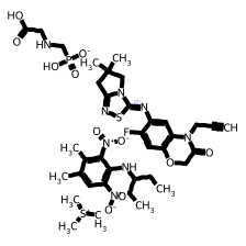 C#CCN1C(=O)COc2cc(F)c(/N=c3\snc4n3CC(C)(C)C4)cc21.CCC(CC)Nc1c([N+](=O)[O-])cc(C)c(C)c1[N+](=O)[O-].C[S+](C)C.O=C(O)CNCP(=O)([O-])O